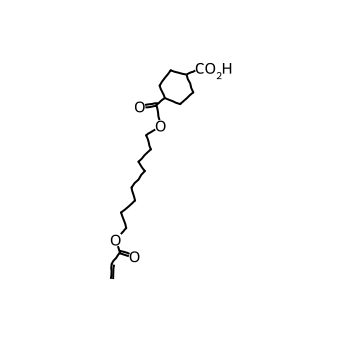 C=CC(=O)OCCCCCCCCOC(=O)C1CCC(C(=O)O)CC1